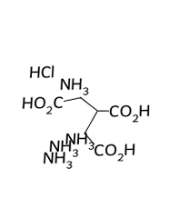 Cl.N.N.N.N.O=C(O)CC(CC(=O)O)C(=O)O